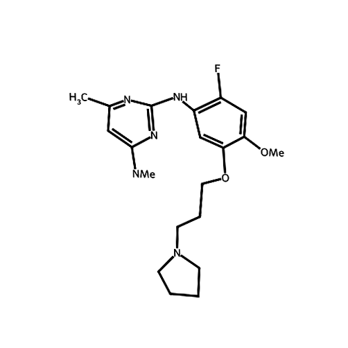 CNc1cc(C)nc(Nc2cc(OCCCN3CCCC3)c(OC)cc2F)n1